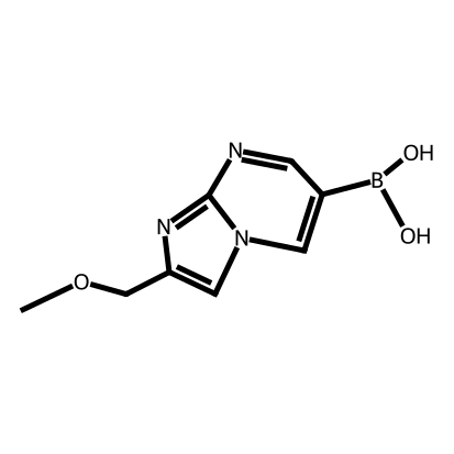 COCc1cn2cc(B(O)O)cnc2n1